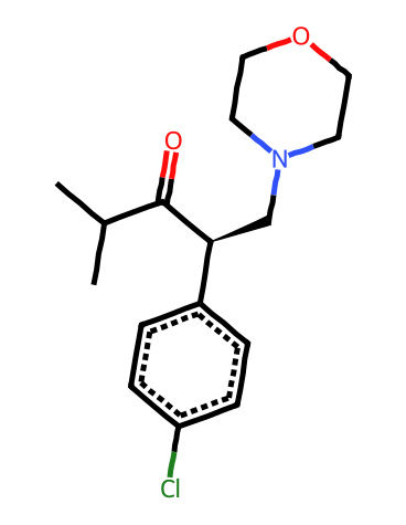 CC(C)C(=O)[C@@H](CN1CCOCC1)c1ccc(Cl)cc1